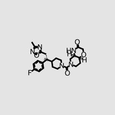 Cc1noc(C[C@@H](c2ccc(F)cc2)C2CCN(C(=O)N3CC[C@@H]4OCC(=O)N[C@@H]4C3)CC2)n1